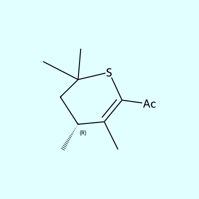 CC(=O)C1=C(C)[C@H](C)CC(C)(C)S1